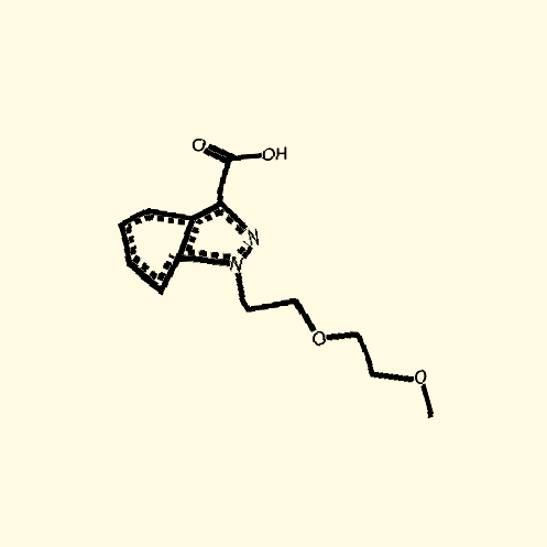 COCCOCCn1nc(C(=O)O)c2ccccc21